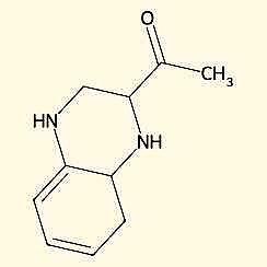 CC(=O)C1CNC2=CC=CCC2N1